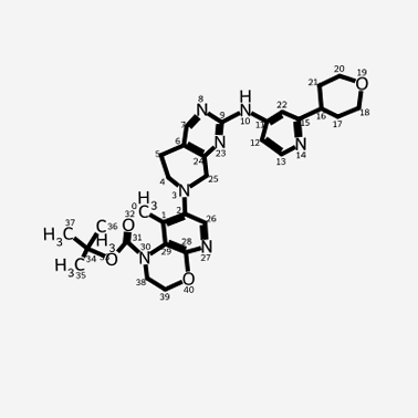 Cc1c(N2CCc3cnc(Nc4ccnc(C5CCOCC5)c4)nc3C2)cnc2c1N(C(=O)OC(C)(C)C)CCO2